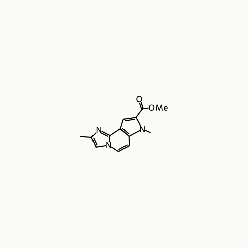 COC(=O)c1cc2c(ccn3cc(C)nc23)n1C